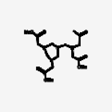 C=C(C)CN(CC(=O)OC)CN1CN(CC(=O)OC)CN(CC(=O)OC)C1